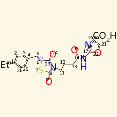 CCc1ccc(/C=C2\SC(=O)N(CCCC(=O)Nc3nc(C(=O)O)co3)C2=O)cc1